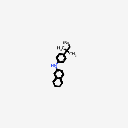 CC(C)(C)CC(C)(C)c1ccc(Nc2ccc3c(c2)=CCCC=3)cc1